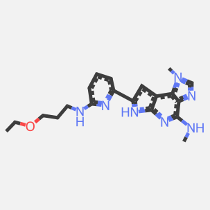 CCOCCCNc1cccc(-c2cc3c(nc(NC)c4ncn(C)c43)[nH]2)n1